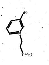 CCCCCCCC[n+]1cccc(C(C)C)c1